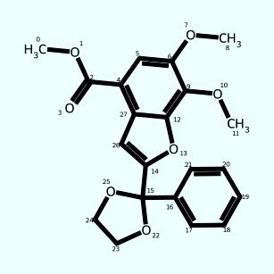 COC(=O)c1cc(OC)c(OC)c2oc(C3(c4ccccc4)OCCO3)cc12